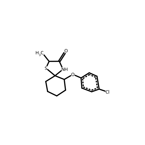 CC1SC2(CCCCC2Oc2ccc(Cl)cc2)NC1=O